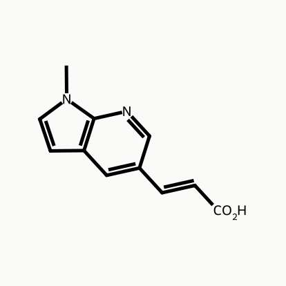 Cn1ccc2cc(/C=C/C(=O)O)cnc21